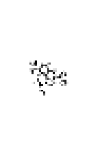 CCN(CC)CC.O=C(O)c1ccc2cc(C(=O)O)ccc2c1